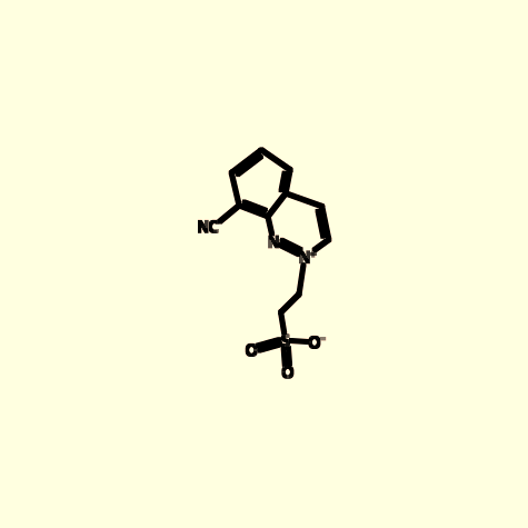 N#Cc1cccc2cc[n+](CCS(=O)(=O)[O-])nc12